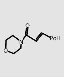 O=C(C=[CH][PoH])N1CCOCC1